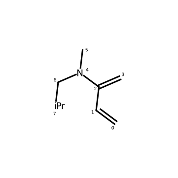 C=CC(=C)N(C)CC(C)C